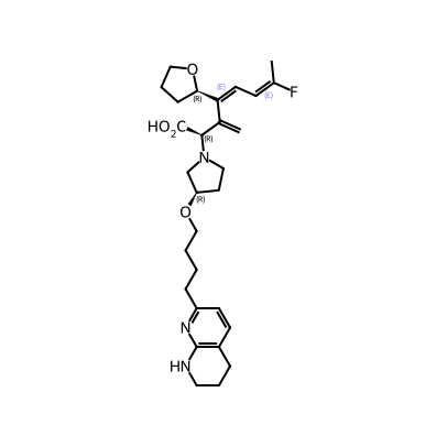 C=C(/C(=C\C=C(/C)F)[C@H]1CCCO1)[C@H](C(=O)O)N1CC[C@@H](OCCCCc2ccc3c(n2)NCCC3)C1